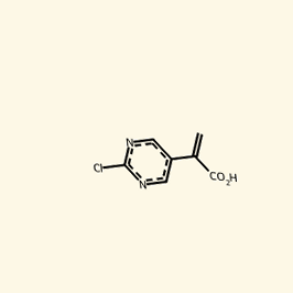 C=C(C(=O)O)c1cnc(Cl)nc1